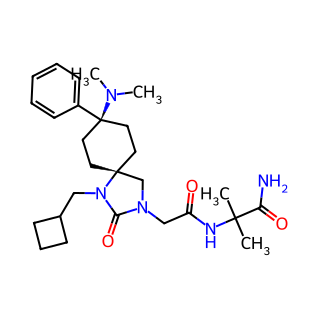 CN(C)[C@]1(c2ccccc2)CC[C@@]2(CC1)CN(CC(=O)NC(C)(C)C(N)=O)C(=O)N2CC1CCC1